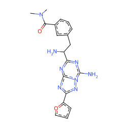 CN(C)C(=O)c1cccc(CC(N)c2nc(N)n3nc(-c4ccco4)nc3n2)c1